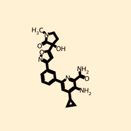 CN1CCC(O)(c2cc(-c3cccc(-c4cc(C5CC5)c(N)c(C(N)=O)n4)c3)no2)C1=O